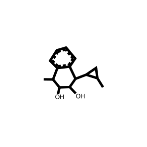 CC1CC1C1c2ccccc2C(C)C(O)C1O